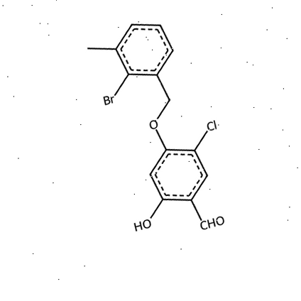 Cc1cccc(COc2cc(O)c(C=O)cc2Cl)c1Br